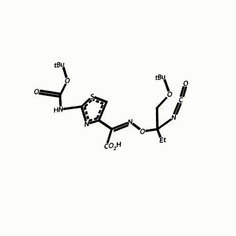 CCC(COC(C)(C)C)(N=C=O)ON=C(C(=O)O)c1csc(NC(=O)OC(C)(C)C)n1